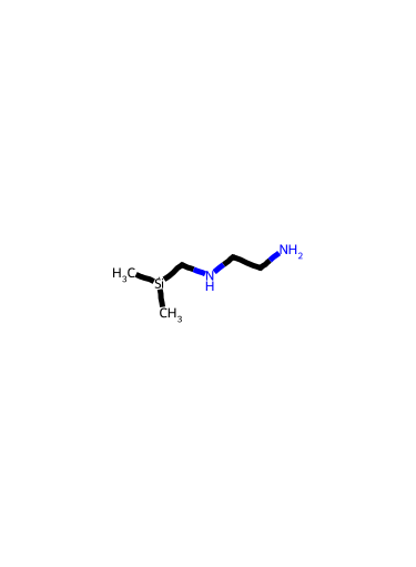 C[Si](C)CNCCN